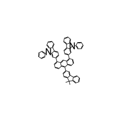 CC1(C)c2ccccc2-c2cc(-c3c4cccc(-c5ccc6c7ccccc7n(-c7ccccc7)c6c5)c4cc4c(-c5ccc6c7ccccc7n(-c7ccccc7)c6c5)cccc34)ccc21